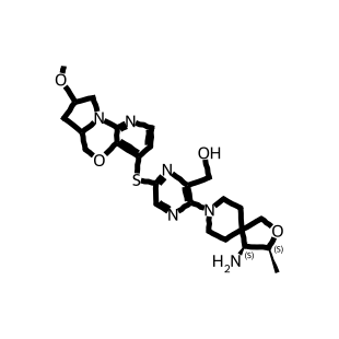 COC1CC2COc3c(Sc4cnc(N5CCC6(CC5)CO[C@@H](C)[C@H]6N)c(CO)n4)ccnc3N2C1